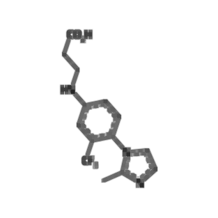 Cc1nccn1-c1ccc(NCCC(=O)O)cc1C(F)(F)F